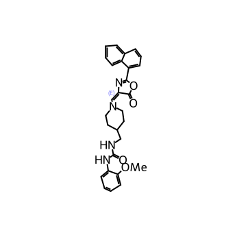 COc1ccccc1NC(=O)NCC1CCN(/C=C2/N=C(c3cccc4ccccc34)OC2=O)CC1